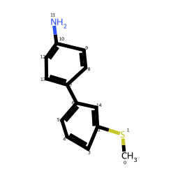 CSc1cccc(-c2ccc(N)cc2)c1